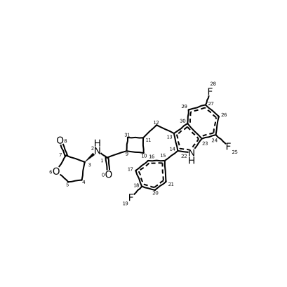 O=C(N[C@H]1CCOC1=O)C1CC(Cc2c(-c3ccc(F)cc3)[nH]c3c(F)cc(F)cc23)C1